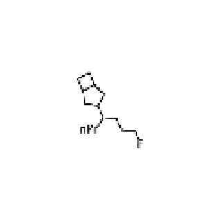 CCCC(CCCF)C1CC2CCC2C1